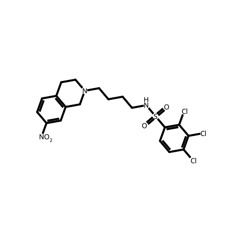 O=[N+]([O-])c1ccc2c(c1)CN(CCCCNS(=O)(=O)c1ccc(Cl)c(Cl)c1Cl)CC2